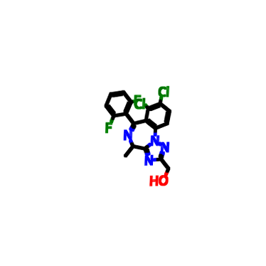 CC1N=C(c2c(F)cccc2F)c2c(ccc(Cl)c2Cl)-n2nc(CO)nc21